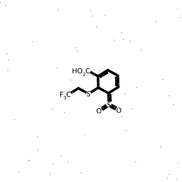 O=C(O)C1=CC=CC(=S(=O)=O)C1SCC(F)(F)F